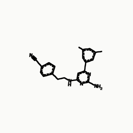 Cc1cc(C)cc(-c2cc(NCCc3ccc(C#N)cc3)nc(N)n2)c1